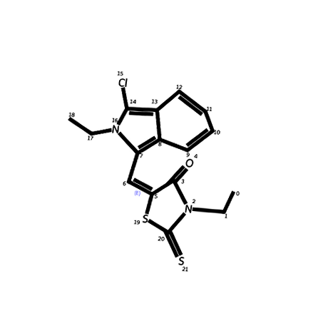 CCN1C(=O)/C(=C\c2c3ccccc3c(Cl)n2CC)SC1=S